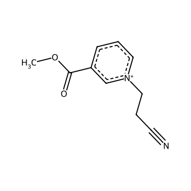 COC(=O)c1ccc[n+](CCC#N)c1